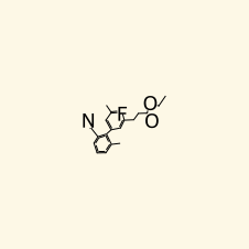 C=C(C)/C=C(\C=C(/F)CCC(=O)OCC)c1c(C)cccc1C#N